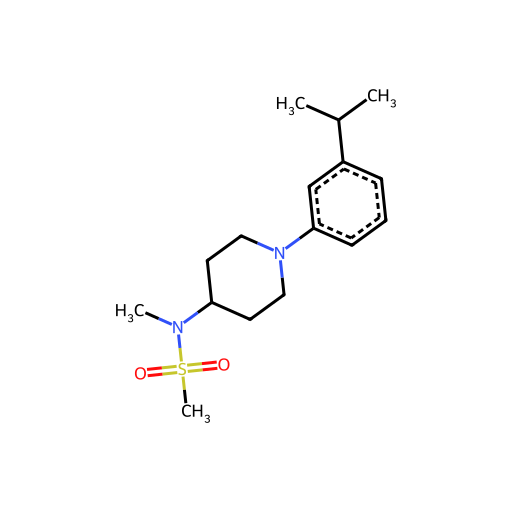 CC(C)c1cccc(N2CCC(N(C)S(C)(=O)=O)CC2)c1